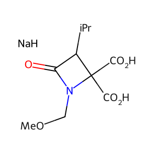 COCN1C(=O)C(C(C)C)C1(C(=O)O)C(=O)O.[NaH]